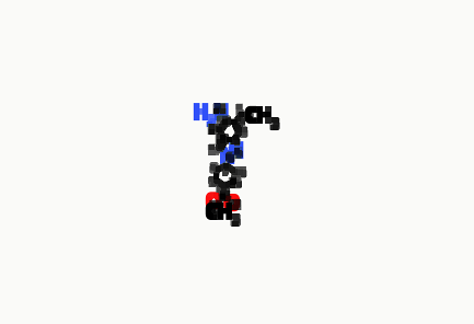 CCc1cc2nn([C@H]3CC[C@H](C(=O)OC)CC3)cc2cc1N